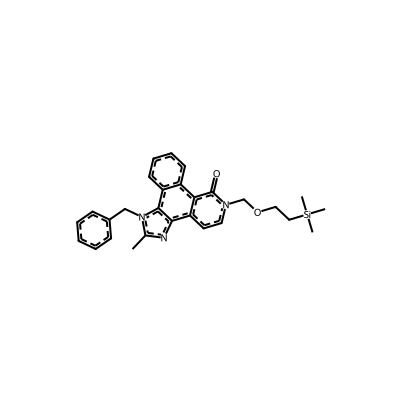 Cc1nc2c3ccn(COCC[Si](C)(C)C)c(=O)c3c3ccccc3c2n1Cc1ccccc1